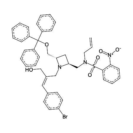 C=CCN(C[C@@H]1C[C@@H](COC(c2ccccc2)(c2ccccc2)c2ccccc2)N1CC(=Cc1ccc(Br)cc1)CO)S(=O)(=O)c1ccccc1[N+](=O)[O-]